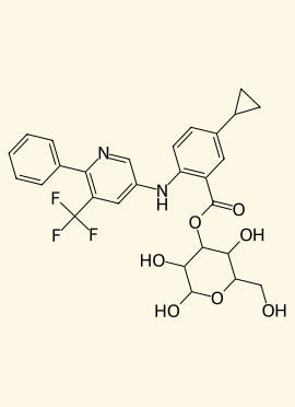 O=C(OC1C(O)C(O)OC(CO)C1O)c1cc(C2CC2)ccc1Nc1cnc(-c2ccccc2)c(C(F)(F)F)c1